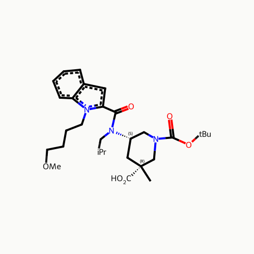 COCCCCn1c(C(=O)N(CC(C)C)[C@@H]2CN(C(=O)OC(C)(C)C)C[C@](C)(C(=O)O)C2)cc2ccccc21